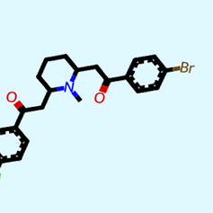 CN1C(CC(=O)c2ccc(Cl)cc2)CCCC1CC(=O)c1ccc(Br)cc1